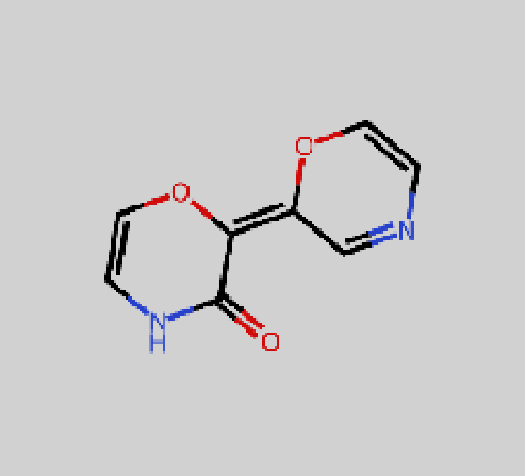 O=C1NC=COC1=C1C=NC=CO1